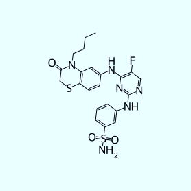 CCCCN1C(=O)CSc2ccc(Nc3nc(Nc4cccc(S(N)(=O)=O)c4)ncc3F)cc21